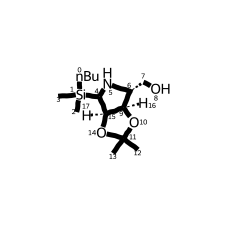 CCCC[Si](C)(C)C1N[C@H](CO)[C@H]2OC(C)(C)O[C@@H]12